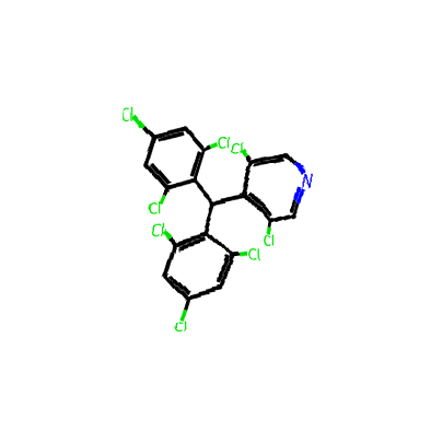 Clc1cc(Cl)c([C](c2c(Cl)cncc2Cl)c2c(Cl)cc(Cl)cc2Cl)c(Cl)c1